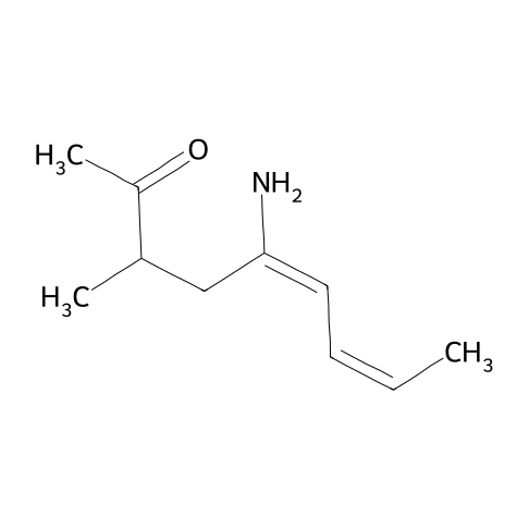 C/C=C\C=C(\N)CC(C)C(C)=O